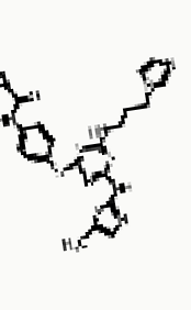 Cc1cnc(Nc2nc(NCCCn3ccnc3)nc(Sc3ccc(NC(=O)C4CC4)cc3)n2)s1